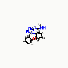 CNc1nc2nnc(-c3ccccc3OC)n2c2ccccc12